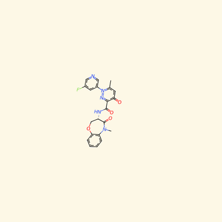 Cc1cc(=O)c(C(=O)N[C@H]2COc3ccccc3N(C)C2=O)nn1-c1cncc(F)c1